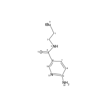 CC(C)(C)CCNC(=O)c1ccc(N)nc1